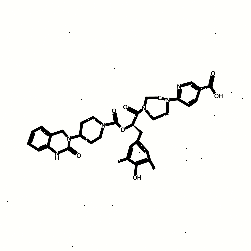 Cc1cc(C[C@@H](OC(=O)N2CCC(N3Cc4ccccc4NC3=O)CC2)C(=O)N2CCN(c3ccc(C(=O)O)cn3)CC2)cc(C)c1O